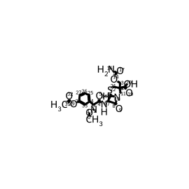 CON=C(C(=O)NC1C(=O)N2CC(COC(N)=O)(C(=O)O)CS[C@H]12)c1cccc(OC(C)=O)c1